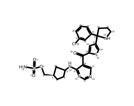 NS(=O)(=O)OC[C@@H]1CCC(Nc2ncncc2C(=O)c2cc(C3(c4cccc(Cl)c4)CCCN3)cs2)C1